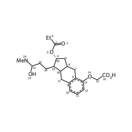 CCC(=O)O[C@@H]1CC2Cc3c(cccc3OCC(=O)O)CC2C1CCC(O)NC